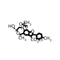 CCOC(=O)c1c(-c2ccc(C)cc2)oc2cc3c(cc12)[C@H](C)O[C@H](CO)CN3S(C)(=O)=O